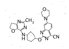 Cc1nc2c(c(NC3CCC(Oc4nc(C#N)c5ccc(N6CCOCC6)cc5n4)CC3)n1)OCC2